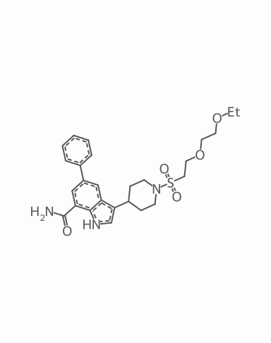 CCOCCOCCS(=O)(=O)N1CCC(c2c[nH]c3c(C(N)=O)cc(-c4ccccc4)cc23)CC1